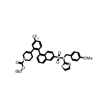 COc1ccc(CN(c2nccs2)S(=O)(=O)c2ccc3c(-c4ccc(C(F)(F)F)cc4C4=CCN(C(=O)OC(C)(C)C)CC4)cccc3c2)cc1